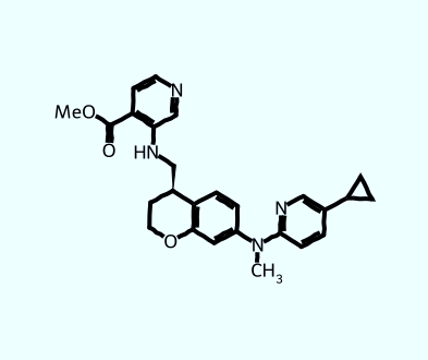 COC(=O)c1ccncc1NC[C@@H]1CCOc2cc(N(C)c3ccc(C4CC4)cn3)ccc21